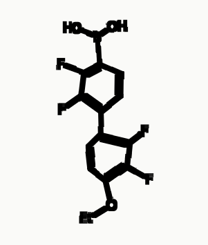 CCOc1ccc(-c2ccc(B(O)O)c(F)c2F)c(F)c1F